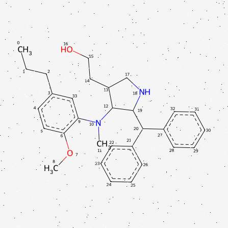 CCCc1ccc(OC)c(N(C)C2C(CCO)CNC2C(c2ccccc2)c2ccccc2)c1